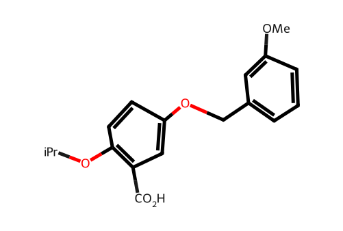 COc1cccc(COc2ccc(OC(C)C)c(C(=O)O)c2)c1